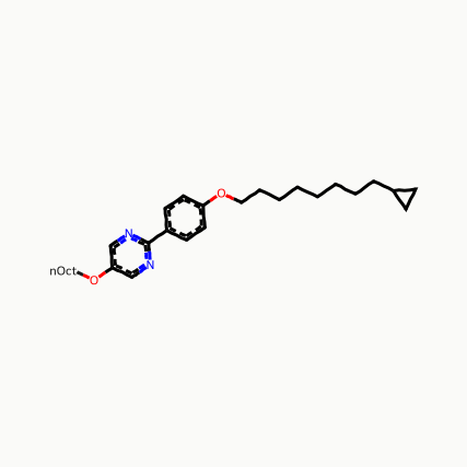 CCCCCCCCOc1cnc(-c2ccc(OCCCCCCCCC3CC3)cc2)nc1